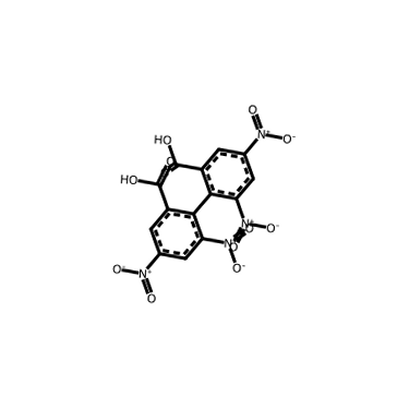 O=C(O)c1cc([N+](=O)[O-])cc([N+](=O)[O-])c1-c1c(C(=O)O)cc([N+](=O)[O-])cc1[N+](=O)[O-]